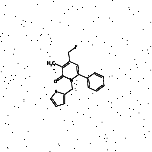 Cc1c(CF)cc(-c2ccccc2)n(Cc2cccs2)c1=O